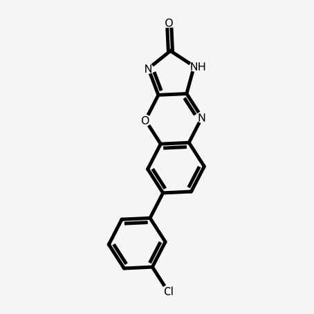 O=c1nc2oc3cc(-c4cccc(Cl)c4)ccc3nc-2[nH]1